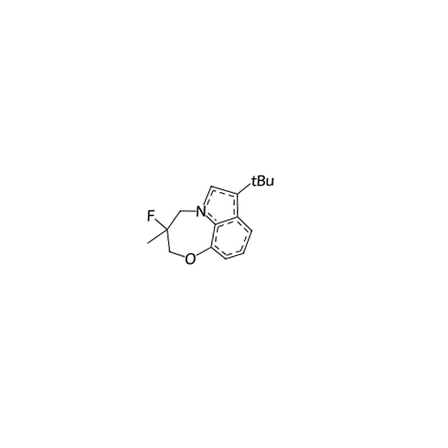 CC1(F)COc2cccc3c(C(C)(C)C)cn(c23)C1